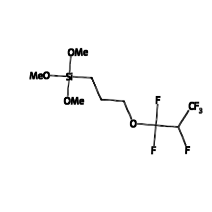 CO[Si](CCCOC(F)(F)C(F)C(F)(F)F)(OC)OC